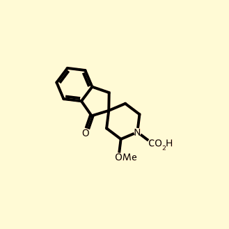 COC1CC2(CCN1C(=O)O)Cc1ccccc1C2=O